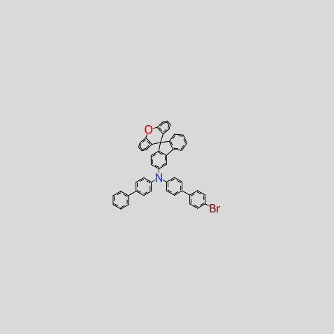 Brc1ccc(-c2ccc(N(c3ccc(-c4ccccc4)cc3)c3ccc4c(c3)-c3ccccc3C43c4ccccc4Oc4ccccc43)cc2)cc1